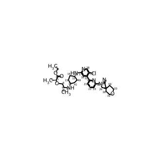 CCOC(=O)[C@H](C)OC[C@@H](C)N[C@H]1CC[C@H](Nc2cc(-c3cccc(NCC4(C#N)CCOCC4)n3)c(Cl)cn2)CC1